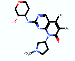 CC(=O)c1c(C)c2cnc(N[C@@H]3CCOC[C@H]3O)nc2n([C@H]2CCN(C(=O)O)C2)c1=O